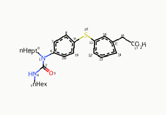 CCCCCCCN(C(=O)NCCCCCC)c1ccc(Sc2cccc(CC(=O)O)c2)cc1